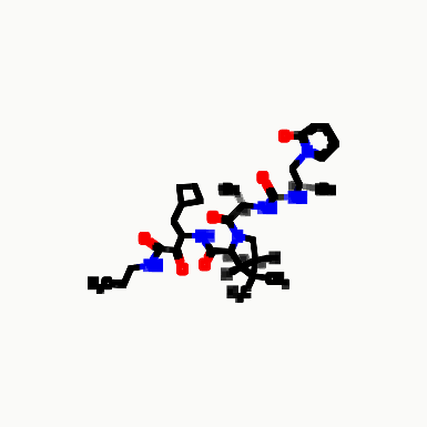 C=CCNC(=O)C(=O)C(CC1CCC1)NC(=O)[C@@H]1[C@@H]2[C@H](CN1C(=O)[C@@H](NC(=O)N[C@H](Cn1ccccc1=O)C(C)(C)C)C(C)(C)C)C2(C)C